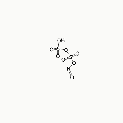 O=NOS(=O)(=O)OS(=O)(=O)O